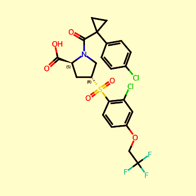 O=C(O)[C@@H]1C[C@@H](S(=O)(=O)c2ccc(OCC(F)(F)F)cc2Cl)CN1C(=O)C1(c2ccc(Cl)cc2)CC1